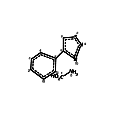 NC(=O)O.c1ccc(-c2csnn2)cc1